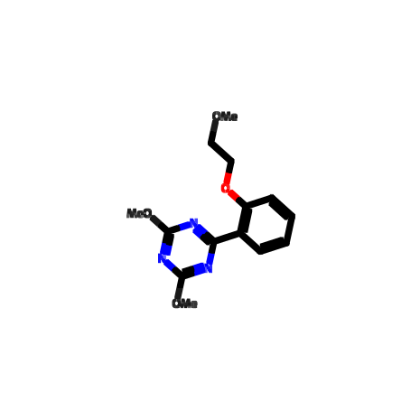 COCCOc1[c]cccc1-c1nc(OC)nc(OC)n1